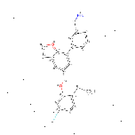 NCc1cccc(-c2cc(COc3cc(F)ccc3CC(=O)O)cc3ccoc23)c1